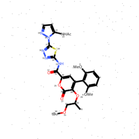 COc1cccc(OC)c1-c1cc(C(=O)Nc2nnc(-n3nccc3NC(C)=O)s2)oc(=O)c1OC(C)COC(C)(C)C